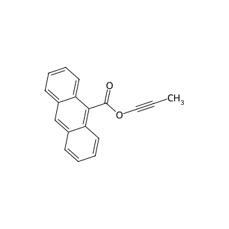 CC#COC(=O)c1c2ccccc2cc2ccccc12